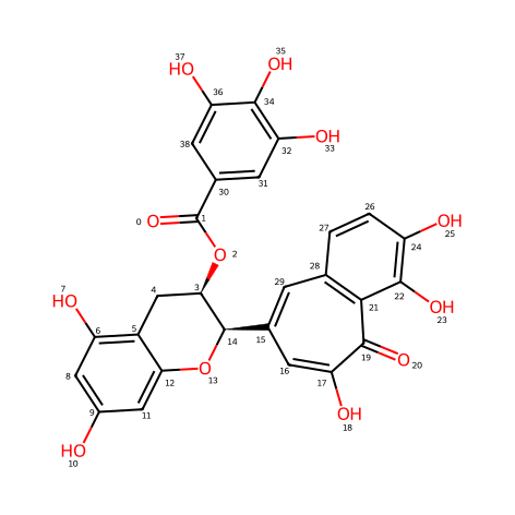 O=C(O[C@@H]1Cc2c(O)cc(O)cc2O[C@@H]1c1cc(O)c(=O)c2c(O)c(O)ccc2c1)c1cc(O)c(O)c(O)c1